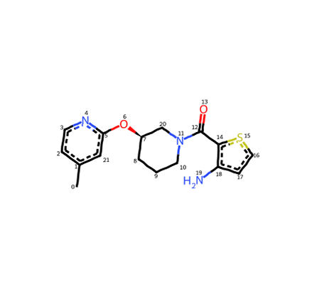 Cc1ccnc(O[C@@H]2CCCN(C(=O)c3sccc3N)C2)c1